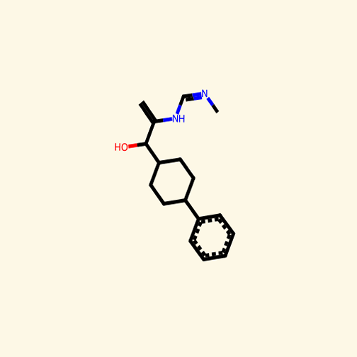 C=C(N/C=N\C)C(O)C1CCC(c2ccccc2)CC1